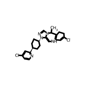 CC1C2=C(C=C(Cl)CC2)NC=C2N1C=NN2[C@H]1CC[C@H](c2cc(Cl)ccn2)CC1